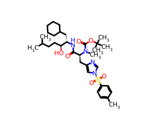 Cc1ccc(S(=O)(=O)n2cnc(C[C@@H](C(=O)N[C@@H](CC3CCCCC3)[C@@H](O)CCC(C)C)N(C)C(=O)OC(C)(C)C)c2)cc1